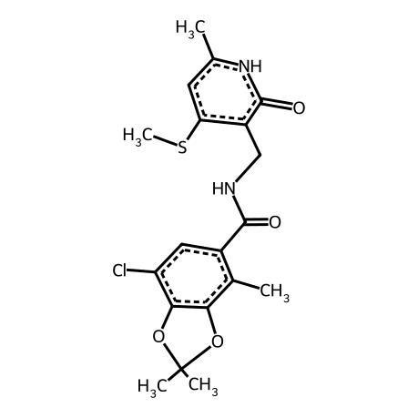 CSc1cc(C)[nH]c(=O)c1CNC(=O)c1cc(Cl)c2c(c1C)OC(C)(C)O2